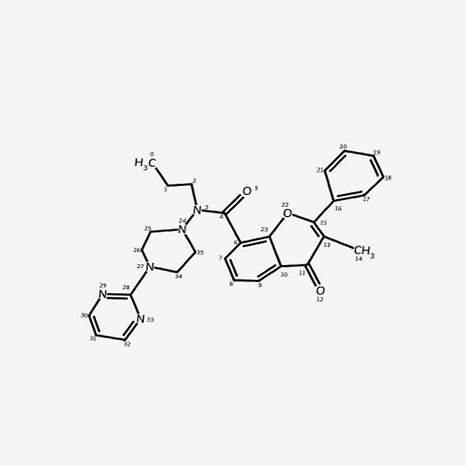 CCCN(C(=O)c1cccc2c(=O)c(C)c(-c3ccccc3)oc12)N1CCN(c2ncccn2)CC1